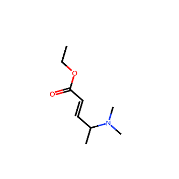 CCOC(=O)/C=C/C(C)N(C)C